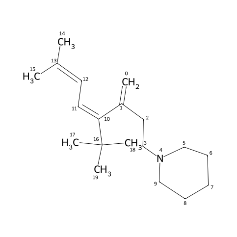 C=C(CCN1CCCCC1)/C(=C\C=C(C)C)C(C)(C)C